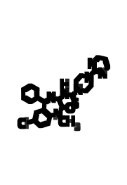 CN1C(=O)C(NC(=S)N2CCN(c3ncccn3)CC2)N=C(c2ccccc2)c2cc(Cl)ccc21